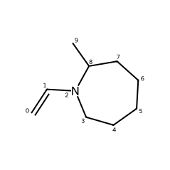 C=CN1CCCCCC1C